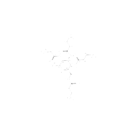 CCCC(=O)OC[C@H]1OC(O)[C@H](OC(=O)CC)[C@@H](OC(=O)CCC)[C@@H]1OC(=O)CCC